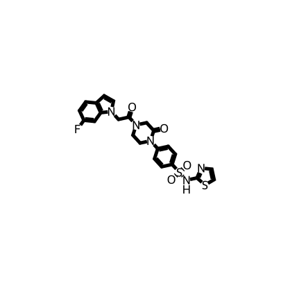 O=C(Cn1ccc2ccc(F)cc21)N1CCN(c2ccc(S(=O)(=O)Nc3nccs3)cc2)C(=O)C1